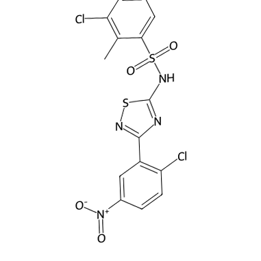 Cc1c(Cl)cccc1S(=O)(=O)Nc1nc(-c2cc([N+](=O)[O-])ccc2Cl)ns1